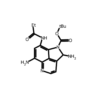 CCC(=O)Nc1cc(N)c2nccc3c2c1N(C(=O)OC(C)(C)C)C3N